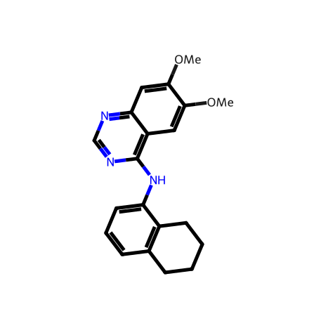 COc1cc2ncnc(Nc3cccc4c3CCCC4)c2cc1OC